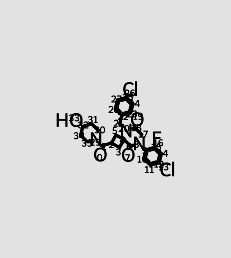 O=C(C1CC2(C1)C(=O)N(c1ccc(Cl)cc1F)CC(=O)N2Cc1ccc(Cl)cc1)N1CCC(O)CC1